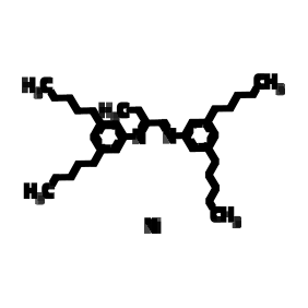 CCCCCc1cc(CCCCC)cc(N=CC(CC)=Nc2cc(CCCCC)cc(CCCCC)c2)c1.[Ni]